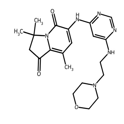 Cc1cc(Nc2cc(NCCN3CCOCC3)ncn2)c(=O)n2c1C(=O)CC2(C)C